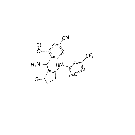 CCOc1cc(C#N)ccc1C(N)C1=C(Nc2ccnc(C(F)(F)F)c2)CCC1=O